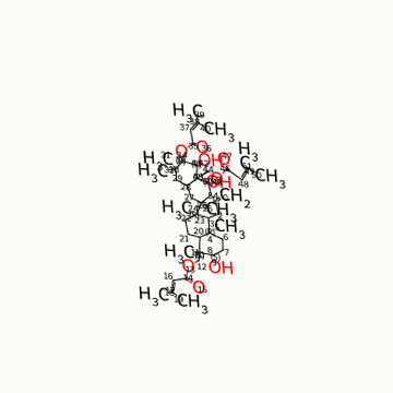 C=CCC1[C@@]2(C)CC[C@H](O)[C@](C)(COC(=O)C=C(C)C)C2CC[C@@]1(C)[C@@]1(C)CC2CC(C)(C)[C@@H](OC(=O)C=C(C)C)[C@H](O)[C@]2(COC(=O)C=C(C)C)[C@H](O)C1